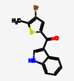 Cc1sc(C(=O)c2c[nH]c3ccccc23)cc1Br